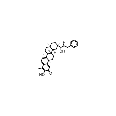 CC1=C(O)C(=O)C=C2C1=CC=C1[C@@]2(C)CC[C@@]2(C)[C@@H]3C[C@](C)(C(O)NCc4ccccc4)CC[C@]3(C)CC[C@]12C